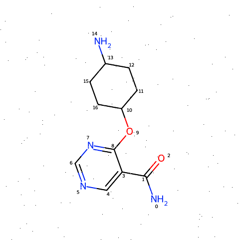 NC(=O)c1cncnc1OC1CCC(N)CC1